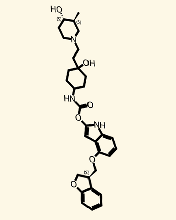 C[C@H]1CN(CCC2(O)CCC(NC(=O)Oc3cc4c(OC[C@@H]5COc6ccccc65)cccc4[nH]3)CC2)CC[C@@H]1O